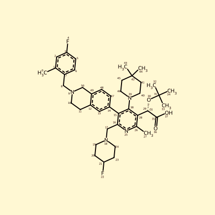 Cc1cc(F)ccc1CN1CCc2cc(-c3c(CN4CCC(F)CC4)nc(C)c([C@H](OC(C)(C)C)C(=O)O)c3N3CCC(C)(C)CC3)ccc2C1